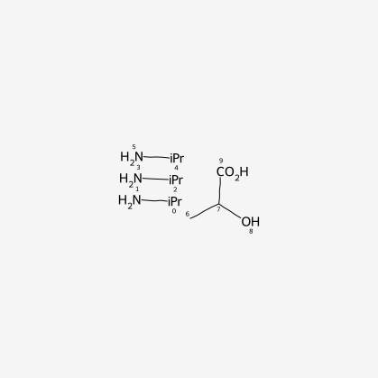 CC(C)N.CC(C)N.CC(C)N.CC(O)C(=O)O